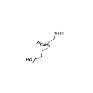 CCCCCCCCCCCC(=O)O.[CaH2].[Zn]